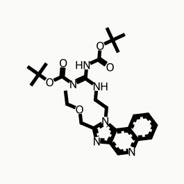 CCOCc1nc2cnc3ccccc3c2n1CCNC(=NC(=O)OC(C)(C)C)NC(=O)OC(C)(C)C